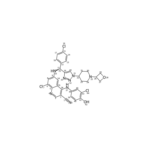 N#Cc1cnc2c(Cl)cc(N[C@@H](c3ccc(Cl)cc3)c3cn(C4CCN(C5COC5)CC4)nn3)cc2c1Nc1ccc(O)c(Cl)c1